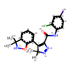 CC1(C)NOc2c(C3=C(C(=O)Nc4ccc(I)cc4F)N=NC3(C#N)C(F)(F)F)cccc21